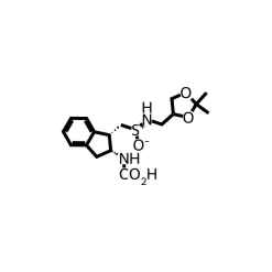 CC1(C)OCC(CN[S+]([O-])C[C@H]2c3ccccc3C[C@H]2NC(=O)O)O1